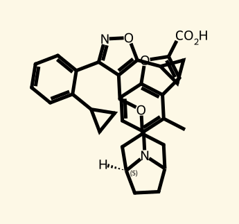 Cc1c(N2C3CC[C@H]2CC(OCc2c(-c4ccccc4C4CC4)noc2C2CC2)C3)ccc2oc(C(=O)O)cc12